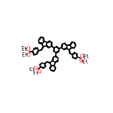 CCOC(OCC)c1ccc(/C=C2\c3ccccc3-c3ccc(-c4cc(-c5ccc6c(c5)/C(=C/c5ccc(C(OCC)OCC)cc5)c5ccccc5-6)cc(-c5ccc6c(c5)/C(=C/c5ccc(C(OCC)OCC)cc5)c5ccccc5-6)c4)cc32)cc1